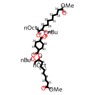 CCCCCCCCC(OCCCC)C(CCCCCCCC(=O)OC)OC(=O)C1CCC(C(=O)OC(CCCCCCCC)C(CCCCCCCC(=O)OC)OCCCC)CC1